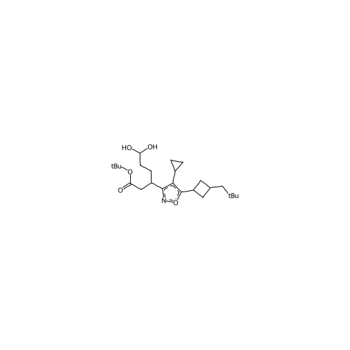 CC(C)(C)CC1CC(c2onc(C(CCC(O)O)CC(=O)OC(C)(C)C)c2C2CC2)C1